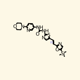 C[Si](C)(C)c1cnc(/C=C/c2cnc(NC(=O)Nc3ccc(N4CCOCC4)nc3)s2)o1